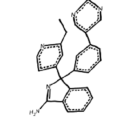 CCc1cc(C2(c3cccc(-c4cncnc4)c3)N=C(N)c3ccccc32)ccn1